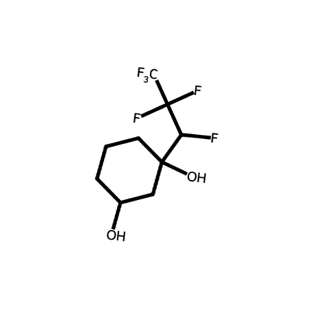 OC1CCCC(O)(C(F)C(F)(F)C(F)(F)F)C1